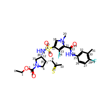 CCOC(=O)N1C[C@@H](CC(C)=S)[C@@H](NS(=O)(=O)c2cn(C)c(C(=O)Nc3ccc(F)c(C)c3)c2F)C1